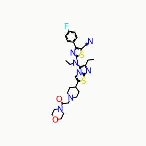 CCc1nc2sc(C3CCN(CC(=O)N4CCOCC4)CC3)cn2c1N(CC)c1nc(-c2ccc(F)cc2)c(C#N)s1